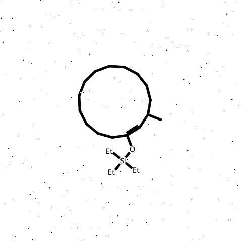 CC[Si](CC)(CC)O/C1=C/C(C)CCCCCCCCCCCC1